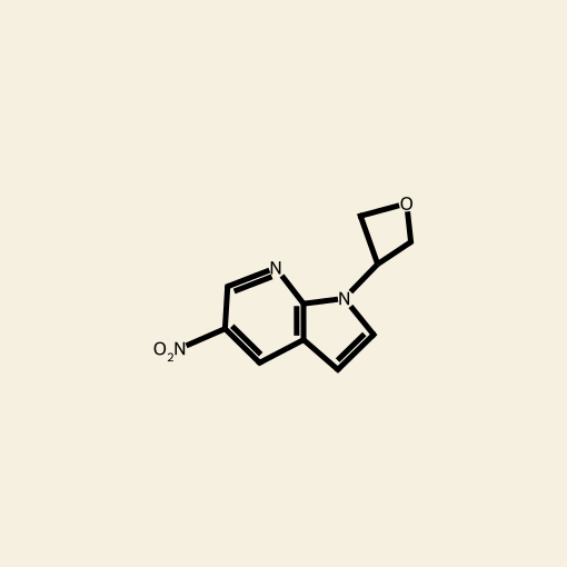 O=[N+]([O-])c1cnc2c(ccn2C2COC2)c1